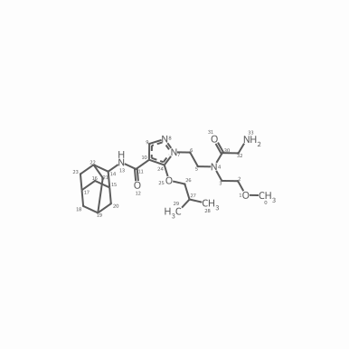 COCCN(CCn1ncc(C(=O)NC2C3CC4CC(C3)CC2C4)c1OCC(C)C)C(=O)CN